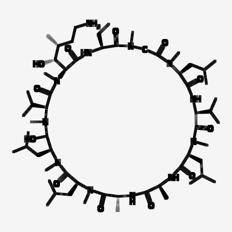 CC[C@@H]1NC(=O)[C@H]([C@H](O)[C@H](C)CCN)N(C)C(=O)[C@H](C(C)C)N(C)C(O)[C@H](CC(C)C)N(C)C(=O)[C@H](CC(C)C)N(C)C(=O)[C@@H](C)NC(=O)[C@H](C)NC(=O)[C@H](CC(C)C)N(C)C(=O)[C@H](C(C)C)NC(=O)[C@H](CC(C)C)N(C)C(=O)CN(C)C1=O